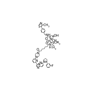 Cc1ncsc1-c1ccc(CNC(=O)[C@@H]2C[C@@H](O)CN2C(=O)[C@@H](NC(=O)CCCCCC(=O)N2CCN(c3cccc(-c4cnc5ccc(N6CCC[C@@H]6c6cccc(F)c6)nn45)n3)CC2)C(C)(C)C)cc1